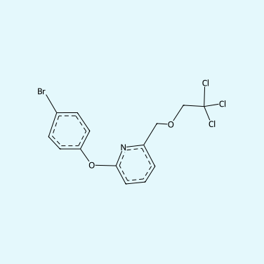 ClC(Cl)(Cl)COCc1cccc(Oc2ccc(Br)cc2)n1